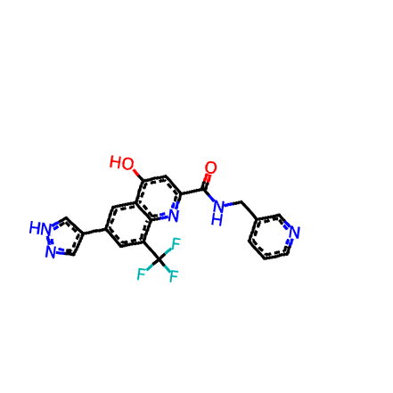 O=C(NCc1cccnc1)c1cc(O)c2cc(-c3cn[nH]c3)cc(C(F)(F)F)c2n1